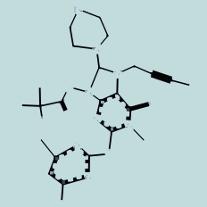 CC#CCN1c2c(nc(Sc3nc(C)cc(C)n3)n(C)c2=O)N(OC(=O)C(F)(F)F)C1N1CCNCC1